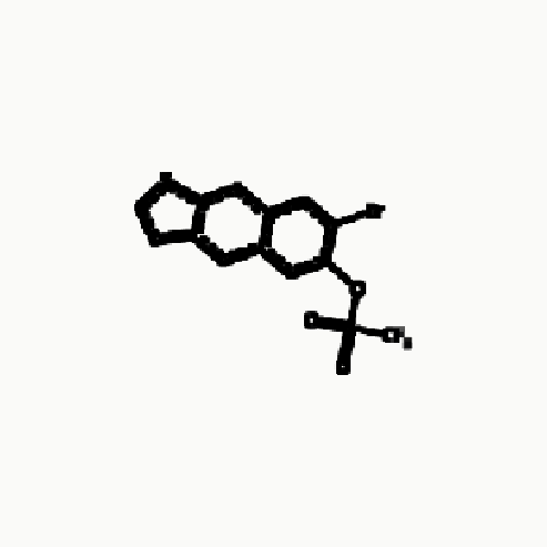 O=S(=O)(Oc1cc2cc3ccsc3cc2cc1Br)C(F)(F)F